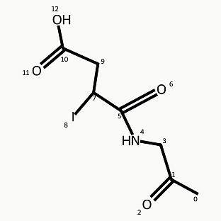 CC(=O)CNC(=O)C(I)CC(=O)O